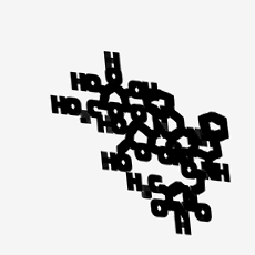 Cc1cn(CC(=O)NC(Cc2ccccc2)C(=O)NC(Cc2ccccc2)C(=O)NC2C(O)OC(CO)C(O)C2OC2OC(C(=O)O)C(O)C(O)C2O)c(=O)[nH]c1=O